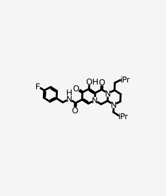 CC(C)CC1CCN(CC(C)C)C2Cn3cc(C(=O)NCc4ccc(F)cc4)c(=O)c(O)c3C(=O)N12